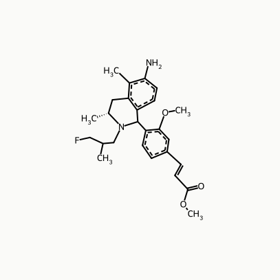 COC(=O)/C=C/c1ccc(C2c3ccc(N)c(C)c3C[C@@H](C)N2CC(C)CF)c(OC)c1